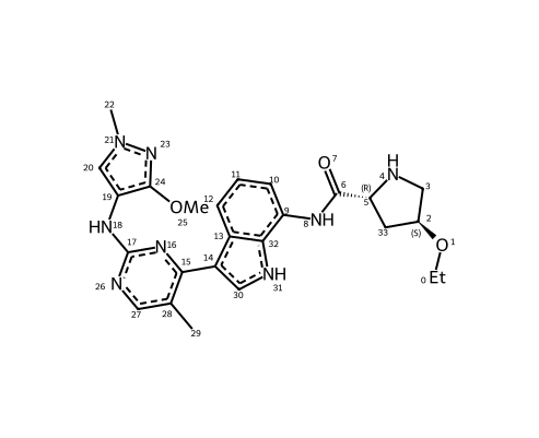 CCO[C@@H]1CN[C@@H](C(=O)Nc2cccc3c(-c4nc(Nc5cn(C)nc5OC)ncc4C)c[nH]c23)C1